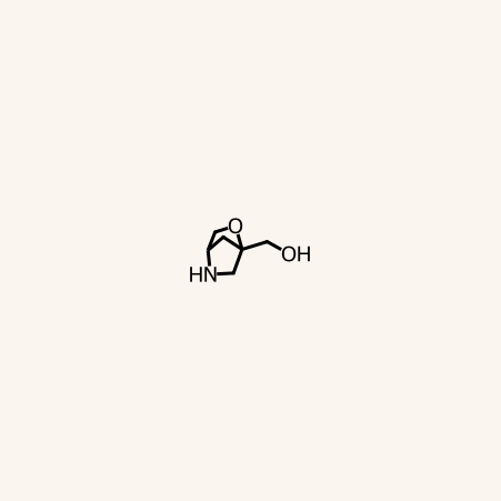 OCC12CNC(CO1)C2